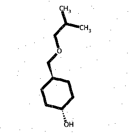 CC(C)COC[C@H]1CC[C@H](O)CC1